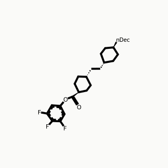 CCCCCCCCCC[C@H]1CC[C@H](CC[C@H]2CC[C@H](C(=O)Oc3cc(F)c(F)c(F)c3)CC2)CC1